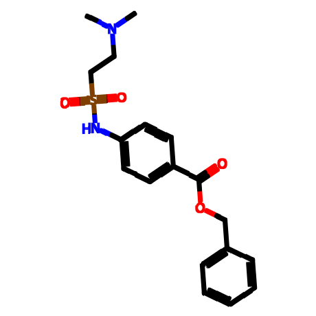 CN(C)CCS(=O)(=O)Nc1ccc(C(=O)OCc2ccccc2)cc1